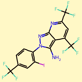 Nc1c2c(C(F)(F)F)cc(C(F)(F)F)nc2nn1-c1ccc(C(F)(F)F)cc1I